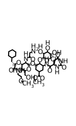 COCCNC(=O)[C@H](CC1CCCCC1)OC1C(NC(=O)CN)[C@H](O[C@@H]2CC(C(=O)OC)CC(NC(=O)c3cc(=O)[nH]c(=O)[nH]3)C2O[C@@H]2OC(C)[C@@H](O)C(O)C2O)OC(CO)[C@@H]1O